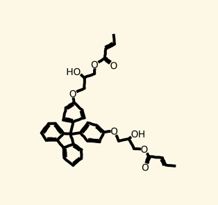 CC=CC(=O)OCC(O)COc1ccc(C2(c3ccc(OCC(O)COC(=O)C=CC)cc3)c3ccccc3-c3ccccc32)cc1